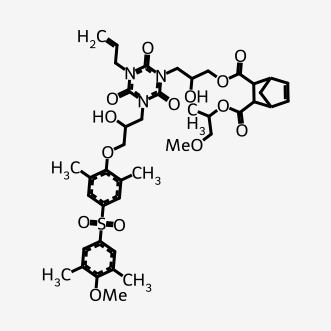 C=CCn1c(=O)n(CC(O)COC(=O)C2C3C=CC(C3)C2C(=O)OC(C)COC)c(=O)n(CC(O)COc2c(C)cc(S(=O)(=O)c3cc(C)c(OC)c(C)c3)cc2C)c1=O